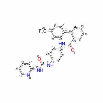 O=C(Nc1ccc(NC(=O)c2ccccc2-c2ccc(C(F)(F)F)cc2)cc1)Nc1ccccn1